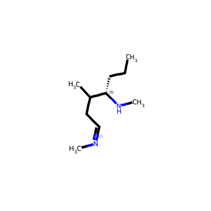 CCC[C@H](NC)C(C)C/C=N\C